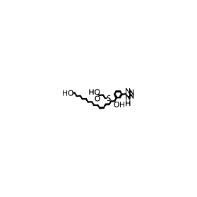 O=C(O)CCS[C@H](/C=C/C=C\CCCCCCCCCO)[C@@H](O)c1cccc(-c2nnn[nH]2)c1